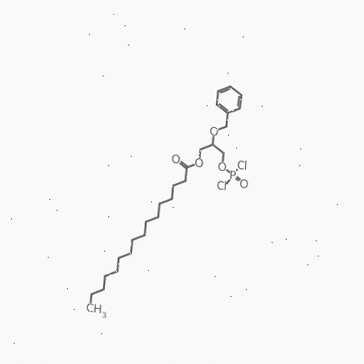 CCCCCCCCCCCCCCCC(=O)OCC(COP(=O)(Cl)Cl)OCc1ccccc1